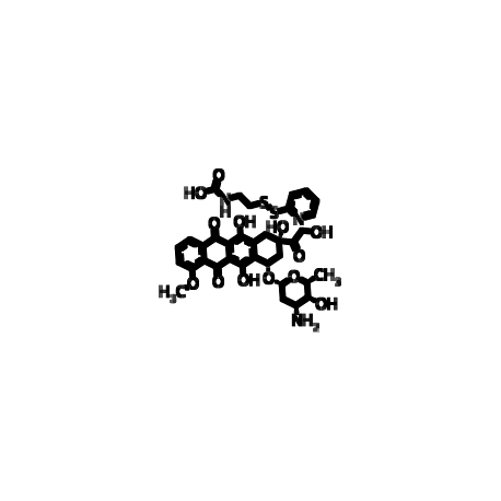 COc1cccc2c1C(=O)c1c(O)c3c(c(O)c1C2=O)C[C@@](O)(C(=O)CO)C[C@@H]3O[C@H]1C[C@H](N)[C@H](O)[C@H](C)O1.O=C(O)NCCSSc1ccccn1